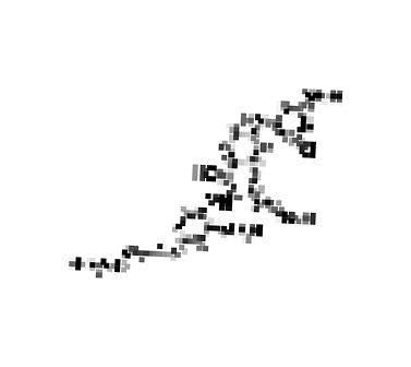 O=S(=O)(O)OOC#CSc1ccc(N=Nc2c(SOOO)cc3cc(Nc4nc(Cl)nc(SO)n4)ccc3c2O)c(S(=O)(=O)O)c1